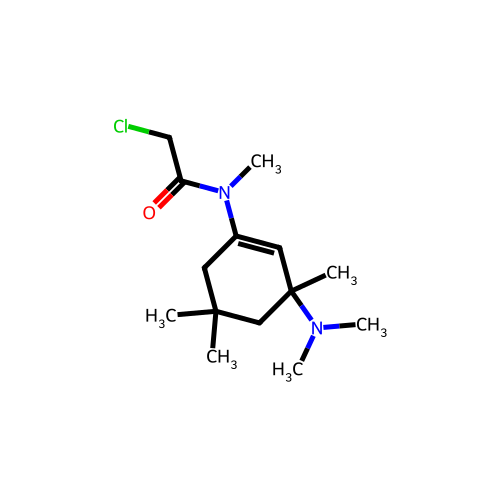 CN(C(=O)CCl)C1=CC(C)(N(C)C)CC(C)(C)C1